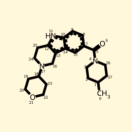 CC1CCN(C(=O)c2ccc3[nH]c4c(c3c2)CN(C2CCOCC2)CC4)CC1